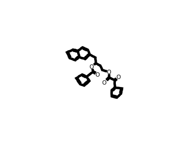 O=C(OCCC(Cc1ccc2ccccc2c1)OC(=O)c1ccccc1)C(=O)c1ccccc1